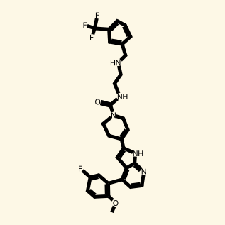 COc1ccc(F)cc1-c1ccnc2[nH]c(C3=CCN(C(=O)NCCNCc4cccc(C(F)(F)F)c4)CC3)cc12